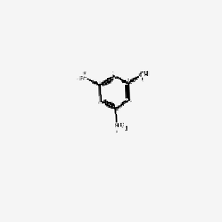 C[C](C)c1cc(C#N)cc([N+](=O)[O-])c1